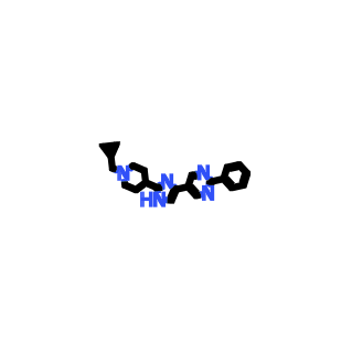 c1ccc(-c2ncc(-c3c[nH]c(C4CCN(CC5CC5)CC4)n3)cn2)cc1